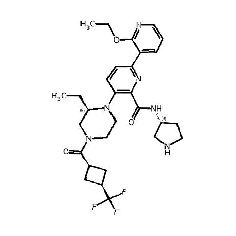 CCOc1ncccc1-c1ccc(N2CCN(C(=O)[C@H]3C[C@@H](C(F)(F)F)C3)C[C@H]2CC)c(C(=O)N[C@@H]2CCNC2)n1